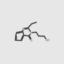 CCc1nc2ccccc2c(=O)n1CCCO